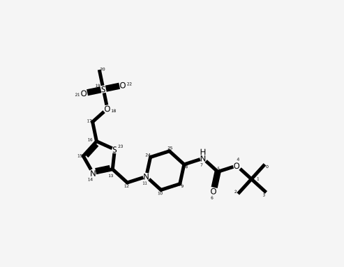 CC(C)(C)OC(=O)NC1CCN(Cc2ncc(COS(C)(=O)=O)s2)CC1